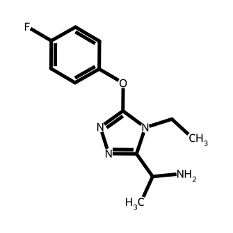 CCn1c(Oc2ccc(F)cc2)nnc1C(C)N